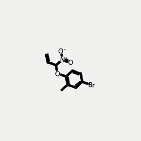 C=CC(Oc1ccc(Br)cc1C)[N+](=O)[O-]